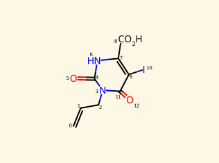 C=CCn1c(=O)[nH]c(C(=O)O)c(I)c1=O